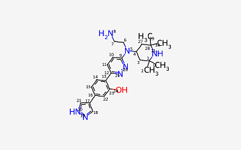 CC1(C)CC(N(CCN)c2ccc(-c3ccc(-c4cn[nH]c4)cc3O)nn2)CC(C)(C)N1